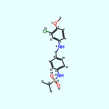 COc1ccc(NCc2ccc(NS(=O)(=O)C(C)C)cc2)cc1Cl